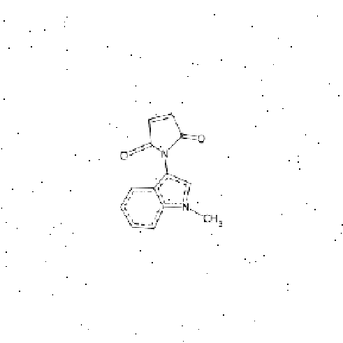 Cn1cc(N2C(=O)C=CC2=O)c2ccccc21